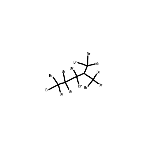 BrC(Br)(Br)[C](C(Br)(Br)Br)C(Br)(Br)C(Br)(Br)C(Br)(Br)Br